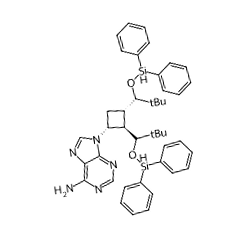 CC(C)(C)C(O[SiH](c1ccccc1)c1ccccc1)[C@@H]1[C@@H](C(O[SiH](c2ccccc2)c2ccccc2)C(C)(C)C)C[C@H]1n1cnc2c(N)ncnc21